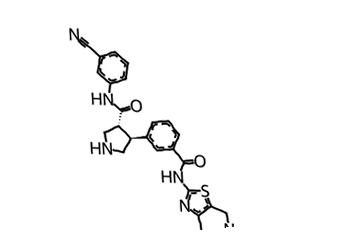 CN1CCc2nc(NC(=O)c3cccc([C@H]4CNC[C@@H]4C(=O)Nc4cccc(C#N)c4)c3)sc2C1